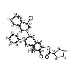 O=C(Oc1cc2cc(-c3cc(Cl)c4ncccc4c3)c(-c3ccccc3)nc2[nH]c1=O)C1CCCC1